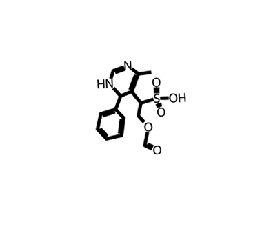 CC1=C(C(COC=O)S(=O)(=O)O)C(c2ccccc2)NC=N1